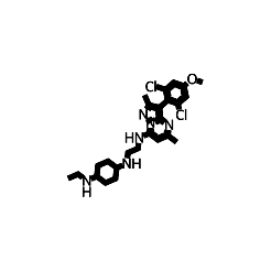 CCNC1CCC(NCCNc2cc(C)nc3c(-c4c(Cl)cc(OC)cc4Cl)c(C)nn23)CC1